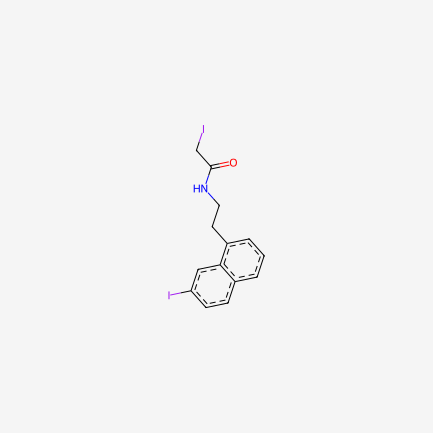 O=C(CI)NCCc1cccc2ccc(I)cc12